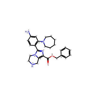 Nc1ccc(-c2nc(C(=O)OCc3ccccc3)c3n2CCNC3)c(N2CCCCCC2)c1